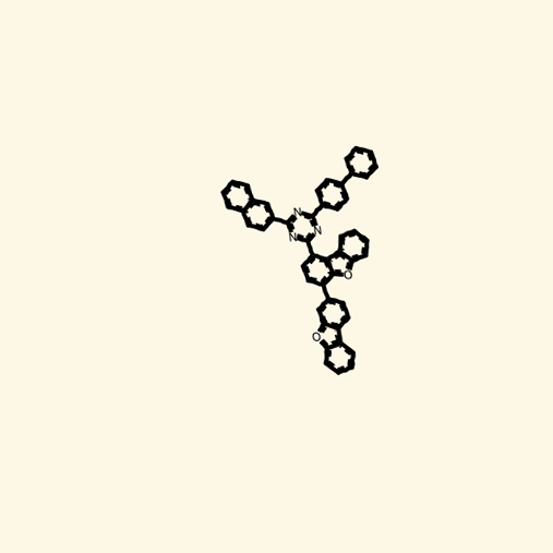 c1ccc(-c2ccc(-c3nc(-c4ccc5ccccc5c4)nc(-c4ccc(-c5ccc6c(c5)oc5ccccc56)c5oc6ccccc6c45)n3)cc2)cc1